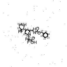 O=C(NCc1cc(C2CNCCC2(F)F)ccn1)OCc1ccccc1.O=C(O)C(F)(F)F